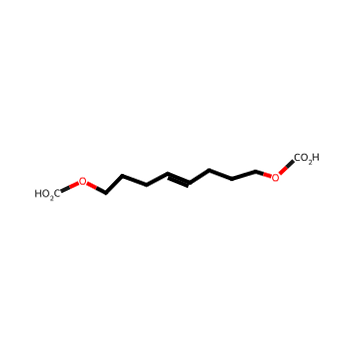 O=C(O)OCCCC=CCCCOC(=O)O